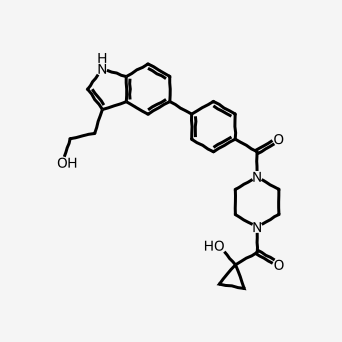 O=C(c1ccc(-c2ccc3[nH]cc(CCO)c3c2)cc1)N1CCN(C(=O)C2(O)CC2)CC1